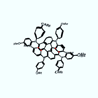 COc1ccc(N(c2ccc(OC)cc2)c2ccc3c4c(N(c5ccc(OC)cc5)c5ccc(OC)cc5)ccc5c(N(c6ccc(OC)cc6)c6ccc(OC)cc6)ccc(c6c(N(c7ccc(OC)cc7)c7ccc(OC)cc7)ccc2c36)c54)cc1